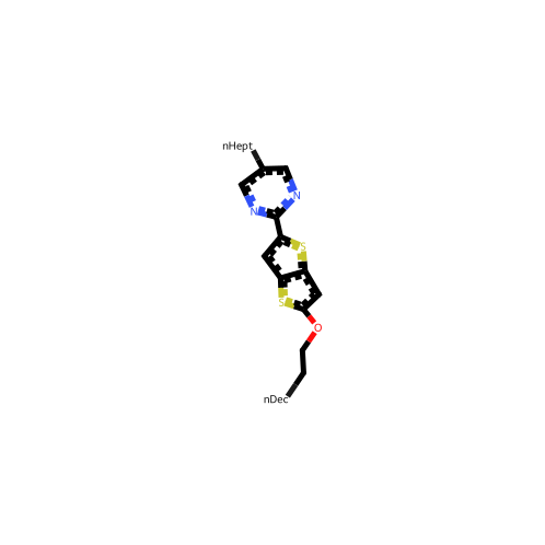 CCCCCCCCCCCCOc1cc2sc(-c3ncc(CCCCCCC)cn3)cc2s1